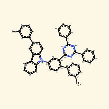 Cc1cccc(-c2ccc3c(c2)c2ccccc2n3-c2ccc(-c3cccc(C(F)(F)F)c3)c(-c3nc(-c4ccccc4)nc(-c4ccccc4)n3)c2)c1